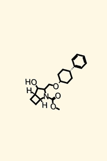 COC(=O)N1C(CO[C@H]2CC[C@@H](c3ccccc3)CC2)C(O)[C@H]2CC[C@H]21